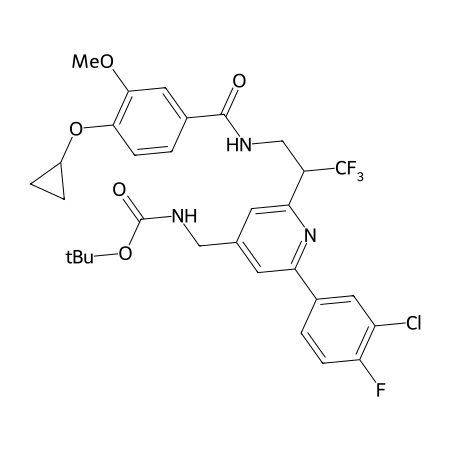 COc1cc(C(=O)NCC(c2cc(CNC(=O)OC(C)(C)C)cc(-c3ccc(F)c(Cl)c3)n2)C(F)(F)F)ccc1OC1CC1